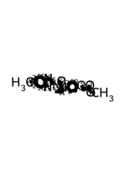 COC(=O)CO[C@H]1CC[C@H](n2ccn(-c3cnc4c(n3)CCN(C)CC4)c2=O)CC1